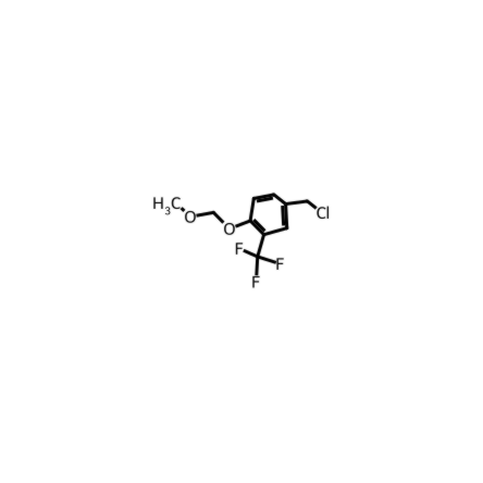 COCOc1ccc(CCl)cc1C(F)(F)F